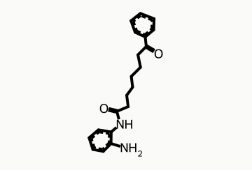 Nc1ccccc1NC(=O)CCCCCCC(=O)c1ccccc1